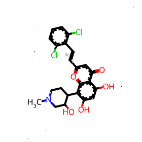 CN1CCC(c2c(O)cc(O)c3c(=O)cc(/C=C/c4c(Cl)cccc4Cl)oc23)C(O)C1